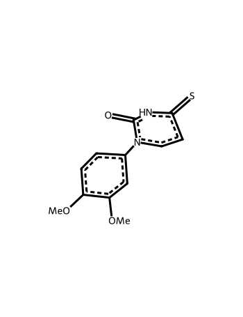 COc1ccc(-n2ccc(=S)[nH]c2=O)cc1OC